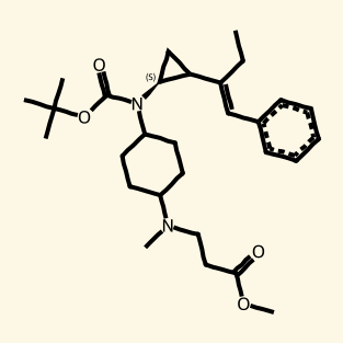 CCC(=Cc1ccccc1)C1C[C@@H]1N(C(=O)OC(C)(C)C)C1CCC(N(C)CCC(=O)OC)CC1